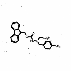 Cc1ccc(CN(CC(=O)O)NC(=O)OCC2c3ccccc3-c3ccccc32)cc1